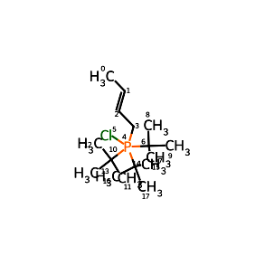 CC=CCP(Cl)(C(C)(C)C)(C(C)(C)C)C(C)(C)C